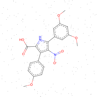 COc1ccc(-c2c(C(=O)O)[nH]c(-c3cc(OC)cc(OC)c3)c2[N+](=O)[O-])cc1